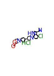 Cl.N#Cc1c[nH]c2c(N3CCC(c4ccc(N5CCO[C@H](C=O)C5)cc4)CC3)ccc(Cl)c12